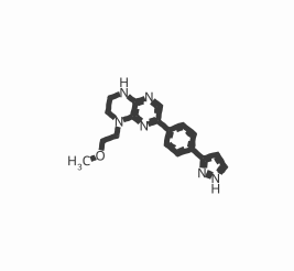 COCCN1CCNc2ncc(-c3ccc(-c4cc[nH]n4)cc3)nc21